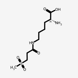 CS(=O)(=O)CCC(=O)NCCCC[C@@H](N)C(=O)O